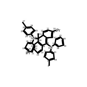 Cc1ccc(N(C2=C3C=C(C(C)C)C=CC3C(C)(N(c3ccccc3)c3ccc(C)cc3)c3cc(C(C)C)ccc32)c2ccccc2)cc1